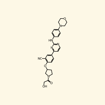 N#Cc1cc(-c2ccnc(Nc3ccc(N4CCOCC4)cc3)n2)ccc1OC1CCN(C(=O)CO)C1